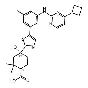 Cc1cc(Nc2nccc(C3CCC3)n2)cc(-c2cnc([C@@]3(O)CC[C@H](C(=O)O)C(C)(C)C3)s2)c1